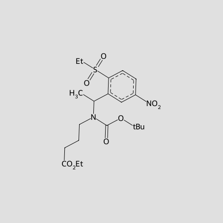 CCOC(=O)CCCN(C(=O)OC(C)(C)C)C(C)c1cc([N+](=O)[O-])ccc1S(=O)(=O)CC